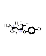 C=C(F)/C(=C\C=C(/C)N)Oc1ccc(CC)cc1